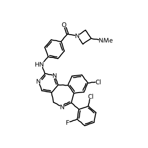 CNC1CN(C(=O)c2ccc(Nc3ncc4c(n3)-c3ccc(Cl)cc3C(c3c(F)cccc3Cl)=NC4)cc2)C1